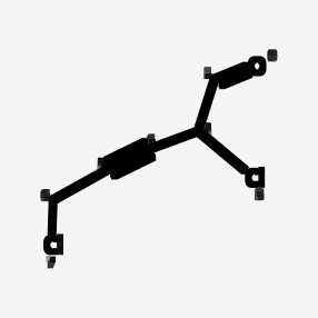 O=CC(Cl)C#CCCl